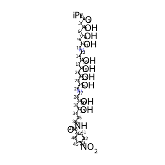 CC(C)C(=O)CC(O)CC(O)CC(O)/C=C/CC(O)CC(O)CC(O)CC(O)/C=C/CC(O)CC(O)CCCNC(=O)c1ccc([N+](=O)[O-])cc1